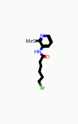 CSc1ncccc1NC(=O)CCCCCBr